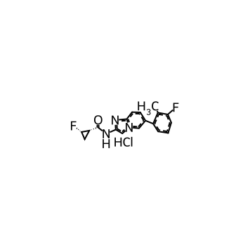 Cc1c(F)cccc1-c1ccc2nc(NC(=O)[C@@H]3C[C@@H]3F)cn2c1.Cl